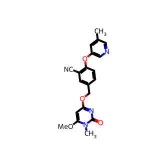 COc1cc(OCc2ccc(Oc3cncc(C)c3)c(C#N)c2)nc(=O)n1C